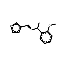 COc1ccccc1C(C)/N=C/c1ccoc1